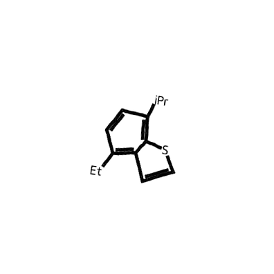 CCc1ccc(C(C)C)c2sccc12